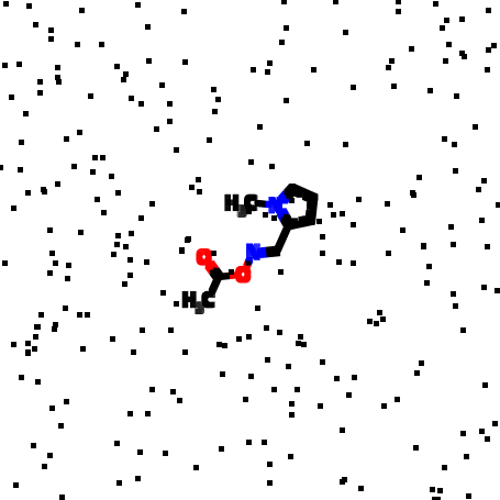 CC(=O)ON=Cc1cccn1C